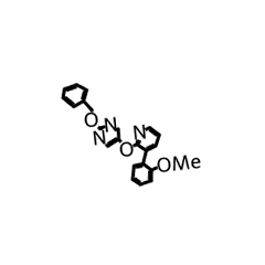 COc1ccccc1-c1cccnc1Oc1cnc(OCc2ccccc2)nc1